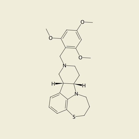 COc1cc(OC)c(CN2CC[C@H]3[C@@H](C2)c2cccc4c2N3CCCS4)c(OC)c1